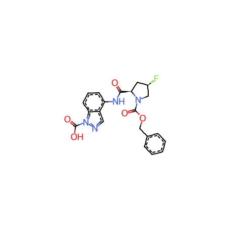 O=C(Nc1cccc2c1cnn2C(=O)O)[C@H]1C[C@@H](F)CN1C(=O)OCc1ccccc1